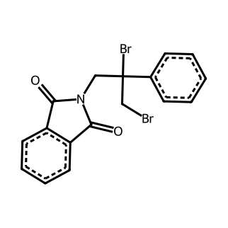 O=C1c2ccccc2C(=O)N1CC(Br)(CBr)c1ccccc1